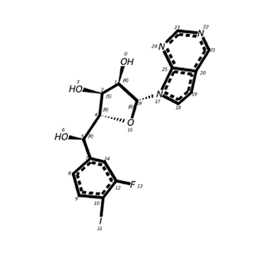 O[C@@H]1[C@H](O)[C@@H]([C@H](O)c2ccc(I)c(F)c2)O[C@H]1n1ccc2cncnc21